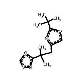 CC(C)(C)c1nc(CC(C)(C)c2nnco2)co1